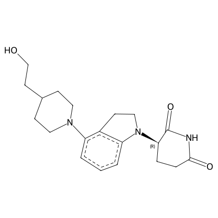 O=C1CC[C@@H](N2CCc3c(N4CCC(CCO)CC4)cccc32)C(=O)N1